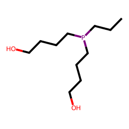 CCCP(CCCCO)CCCCO